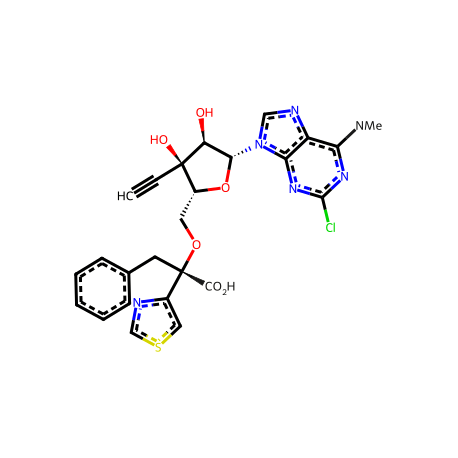 C#C[C@@]1(O)[C@@H](CO[C@](Cc2ccccc2)(C(=O)O)c2cscn2)O[C@@H](n2cnc3c(NC)nc(Cl)nc32)[C@@H]1O